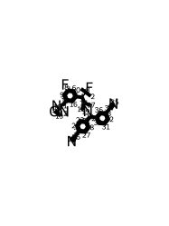 CC(C)(F)[C@H](c1cc(F)cc(-c2ncon2)c1)C1CN(C(c2ccc(C#N)cc2)c2cccc(C#N)c2)C1